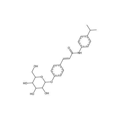 CC(C)c1ccc(NC(=O)/C=C/c2ccc(OC3OC(CO)C(O)C(O)C3O)cc2)cc1